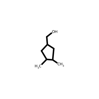 CC1CC(CO)CC1C